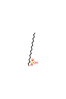 [CH2]CC(CCCCCCCCCCCCCC)S(=O)(=O)O